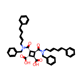 O=C(O)[C@H]1[C@H](C(=O)O)[C@H](C(=O)N(CC=CC=Cc2ccccc2)Cc2ccccc2)[C@H]1C(=O)N(CC=CC=Cc1ccccc1)Cc1ccccc1